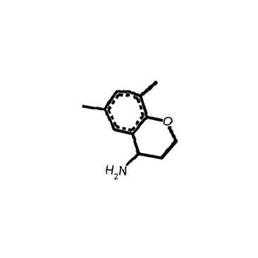 Cc1cc(C)c2c(c1)C(N)CCO2